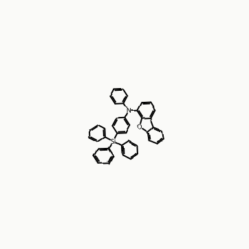 c1ccc(N(c2ccc([Si](c3ccccc3)(c3ccccc3)c3ccccc3)cc2)c2cccc3c2oc2ccccc23)cc1